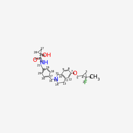 CC1(F)CC1COc1ccc2c(c1)CCN(Cc1ccc(CNC(=O)C3(O)CC3)cc1)C2